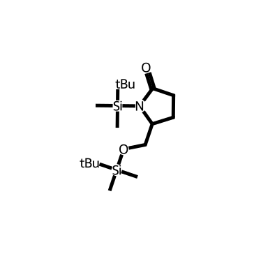 CC(C)(C)[Si](C)(C)OCC1CCC(=O)N1[Si](C)(C)C(C)(C)C